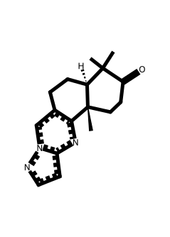 CC1(C)C(=O)CC[C@]2(C)c3nc4ccnn4cc3CC[C@@H]12